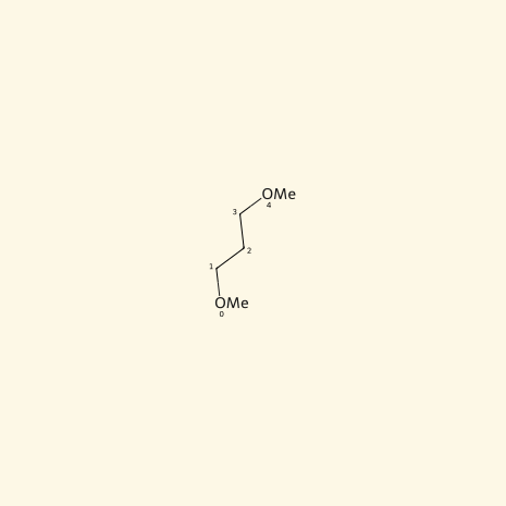 [CH2-][OH+]CCC[OH+][CH2-]